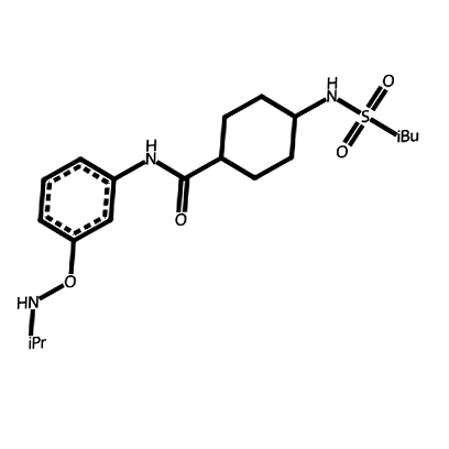 CCC(C)S(=O)(=O)NC1CCC(C(=O)Nc2cccc(ONC(C)C)c2)CC1